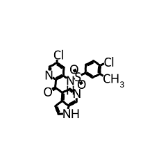 Cc1cc(S(=O)(=O)Nc2cc(Cl)cnc2C(=O)c2cncc3[nH]ccc23)ccc1Cl